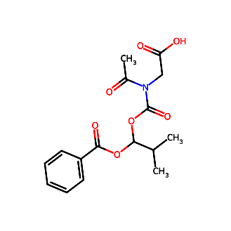 CC(=O)N(CC(=O)O)C(=O)OC(OC(=O)c1ccccc1)C(C)C